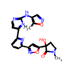 Cc1oncc1Nc1nccc(-c2cccc(-c3cc(C4(O)CCN(C)C4=O)on3)n2)n1